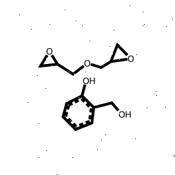 C(OCC1CO1)C1CO1.OCc1ccccc1O